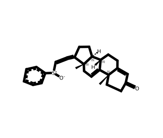 C[C@]12CCC(=O)C=C1CC[C@@H]1C2=CC[C@]2(C)C(=C=C[S+]([O-])c3ccccc3)CC[C@@H]12